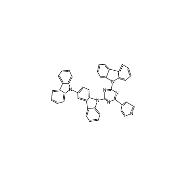 c1ccc2c(c1)c1ccccc1n2-c1ccc2c(c1)c1ccccc1n2-c1nc(-c2ccncc2)nc(-n2c3ccccc3c3ccccc32)n1